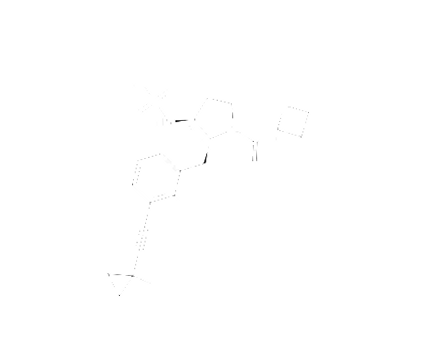 CC1(C#Cc2cccc(C[C@H]3[C@@H](NS(C)(=O)=O)CCN3C(=O)[C@H]3CCO3)c2F)CC1